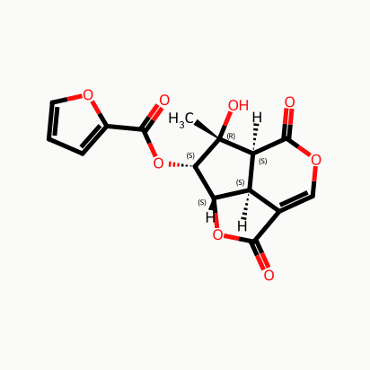 C[C@]1(O)[C@@H](OC(=O)c2ccco2)[C@H]2OC(=O)C3=COC(=O)[C@H]1[C@@H]32